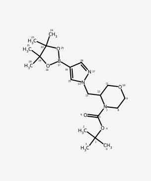 CC(C)(C)OC(=O)N1CCOCC1Cn1cc(B2OC(C)(C)C(C)(C)O2)cn1